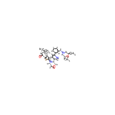 CC1CN(Cc2cccc(-c3cc(-c4c(N5CCOCC5)sc5c4CC(C)(C)CC5=O)ccn3)c2)CC(C)O1